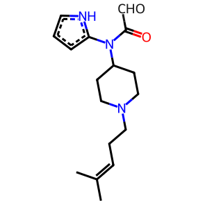 CC(C)=CCCN1CCC(N(C(=O)C=O)c2ccc[nH]2)CC1